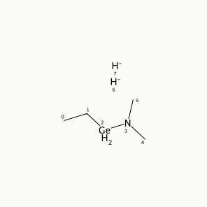 C[CH2][GeH2][N](C)C.[H-].[H-]